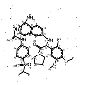 COc1cc(F)c([C@H](Nc2ccc3c(N)nccc3c2)C(=O)N2CCC[C@@H]2c2cc(NC(=O)O)ccc2S(=O)(=O)C(C)C)cc1OC